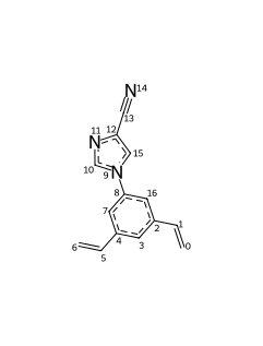 C=Cc1cc(C=C)cc(-n2cnc(C#N)c2)c1